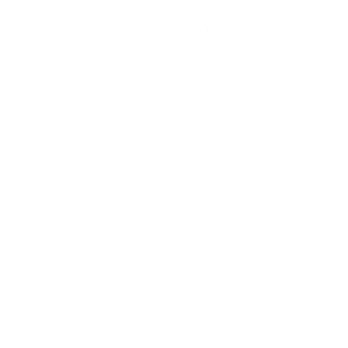 CCCCCC1COC(C2CCC(c3ccc(C4CCC(C(F)(F)Oc5cc(F)c(C=C(F)F)c(F)c5)CC4)c(F)c3)CC2)OC1